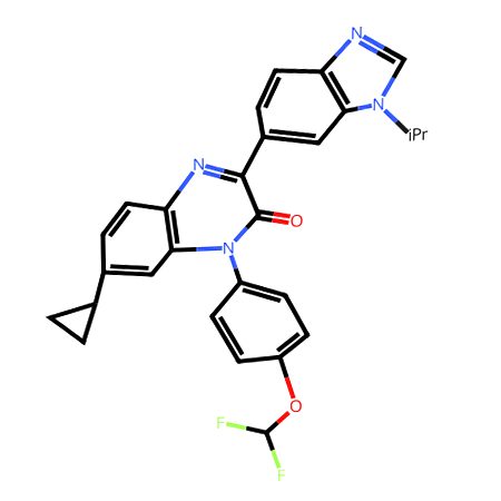 CC(C)n1cnc2ccc(-c3nc4ccc(C5CC5)cc4n(-c4ccc(OC(F)F)cc4)c3=O)cc21